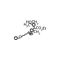 CCOC(=O)CC(c1ccc(C)c([C@H](C)O)c1)c1ccc2c(nnn2CCCCCCOCc2ccccc2)c1C